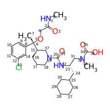 CNC(=O)CO[C@@](C)(c1cccc(Cl)c1)[C@@H]1CCCN(C(=O)N[C@@H](CC2CCCCC2)CN(C)C(=O)O)C1